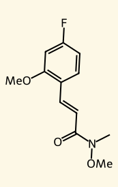 COc1cc(F)ccc1C=CC(=O)N(C)OC